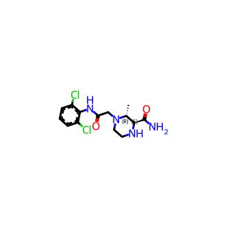 C[C@@H]1[C@@H](C(N)=O)NCCN1CC(=O)Nc1c(Cl)cccc1Cl